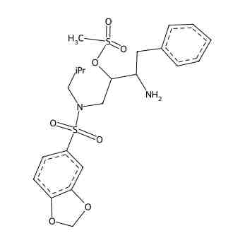 CC(C)CN(CC(OS(C)(=O)=O)C(N)Cc1ccccc1)S(=O)(=O)c1ccc2c(c1)OCO2